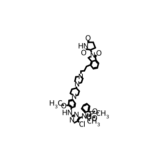 COc1cc(N2CCC(N3CCN(CCCc4cccc5c4CN(C4CCC(=O)NC4=O)C5=O)CC3)CC2)ccc1Nc1ncc(Cl)c(Nc2ccccc2P(=O)(OC)OC)n1